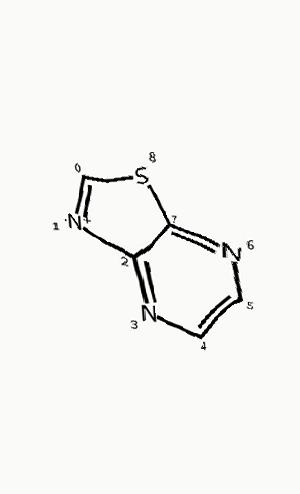 C1=[N+]c2nccnc2S1